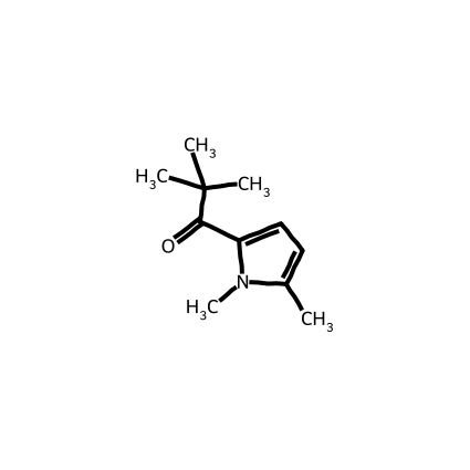 Cc1ccc(C(=O)C(C)(C)C)n1C